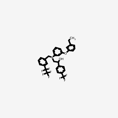 CCc1cccc(Oc2cccc(N(Cc3cccc(C(F)(F)C(F)(F)F)c3)CC(O)c3ccc(C(F)(F)F)cc3)c2)c1